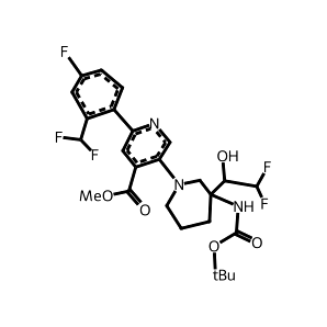 COC(=O)c1cc(-c2ccc(F)cc2C(F)F)ncc1N1CCCC(NC(=O)OC(C)(C)C)(C(O)C(F)F)C1